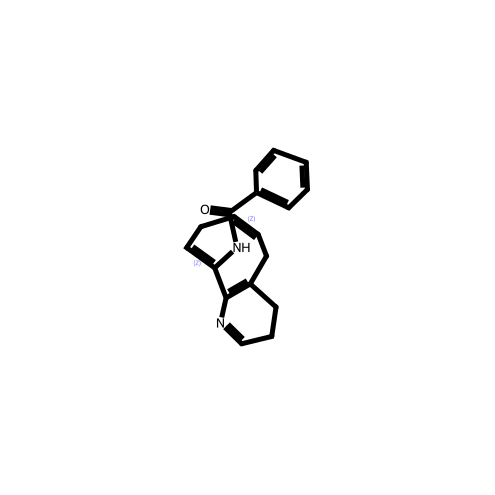 O=C(N/C1=C\C/C=C\CC2=C1N=CCC2)c1ccccc1